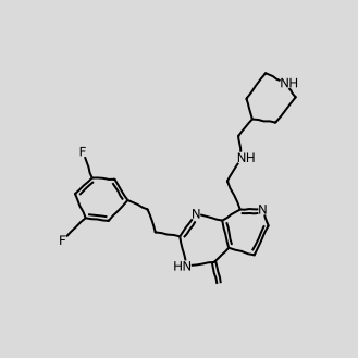 C=C1NC(CCc2cc(F)cc(F)c2)=Nc2c1ccnc2CNCC1CCNCC1